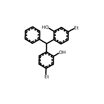 CCc1ccc(C(c2ccccc2)c2ccc(CC)cc2O)c(O)c1